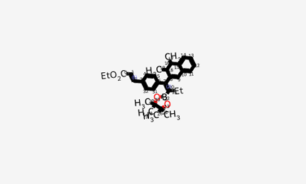 CCOC(=O)/C=C/c1ccc(/C(C2=Cc3ccccc3C(C)C2C)=C(/CC)B2OC(C)(C)C(C)(C)O2)cc1